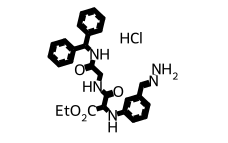 CCOC(=O)C(Nc1cccc(C=NN)c1)C(=O)NCC(=O)NC(c1ccccc1)c1ccccc1.Cl